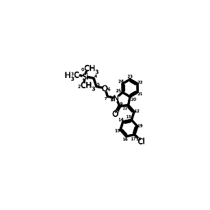 C[Si](C)(C)CCOCN1C(=O)C(=Cc2cccc(Cl)c2)c2ccccc21